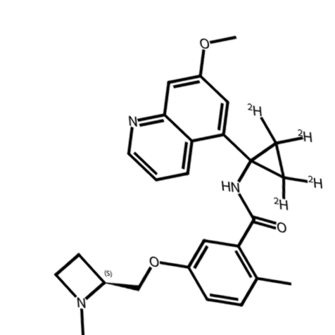 [2H]C1([2H])C([2H])([2H])C1(NC(=O)c1cc(OC[C@@H]2CCN2C)ccc1C)c1cc(OC)cc2ncccc12